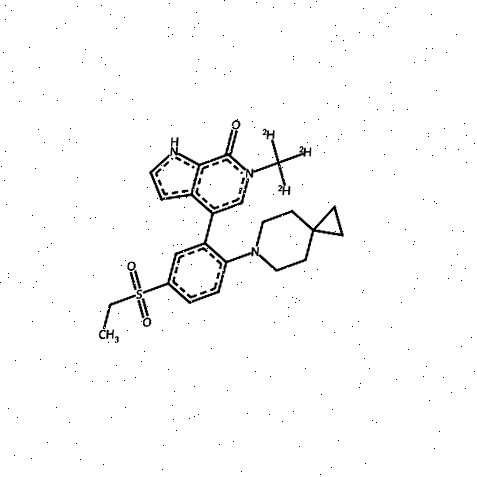 [2H]C([2H])([2H])n1cc(-c2cc(S(=O)(=O)CC)ccc2N2CCC3(CC2)CC3)c2cc[nH]c2c1=O